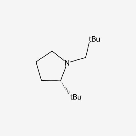 CC(C)(C)CN1CCC[C@H]1C(C)(C)C